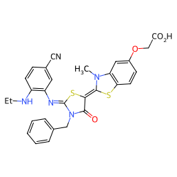 CCNc1ccc(C#N)cc1N=C1SC(=C2Sc3ccc(OCC(=O)O)cc3N2C)C(=O)N1Cc1ccccc1